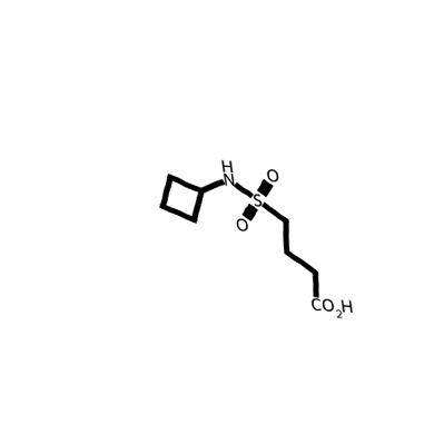 O=C(O)CCCS(=O)(=O)NC1CCC1